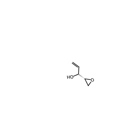 C=CC(O)[C@H]1CO1